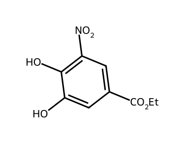 CCOC(=O)c1cc(O)c(O)c([N+](=O)[O-])c1